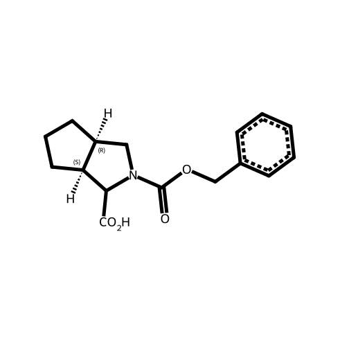 O=C(O)C1[C@H]2CCC[C@H]2CN1C(=O)OCc1ccccc1